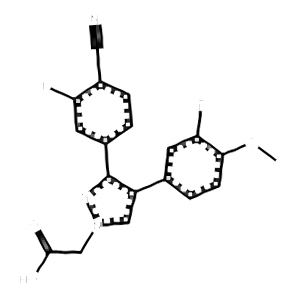 COc1ccc(-c2cn(CC(=O)O)nc2-c2ccc(C#N)c(F)c2)cc1F